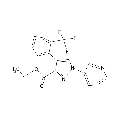 CCOC(=O)c1nn(-c2cccnc2)cc1-c1ccccc1C(F)(F)F